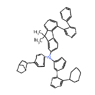 CC1(C)c2cc(N(c3ccc(C4CC5CCC4C5)cc3)c3cccc(-c4ccccc4C4CCCCC4)c3)ccc2-c2c(-c3ccccc3-c3ccccc3)cccc21